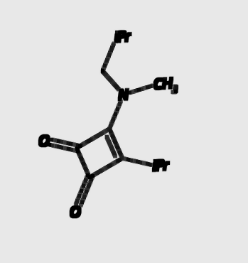 CC(C)CN(C)c1c(C(C)C)c(=O)c1=O